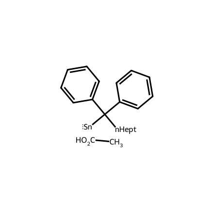 CC(=O)O.CCCCCCC[C]([Sn])(c1ccccc1)c1ccccc1